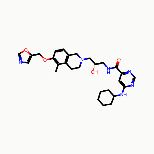 Cc1c(OCc2cnco2)ccc2c1CCN(C[C@@H](O)CNC(=O)c1cc(NC3CCCCC3)ncn1)C2